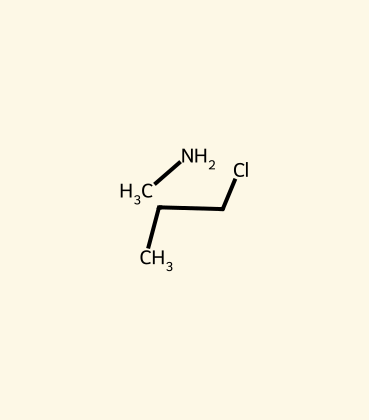 CCCCl.CN